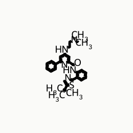 CN(C)CCNc1cc(C(=O)Nc2ccccc2-c2ncc(C(C)(C)C)s2)nc(-c2ccccc2)c1